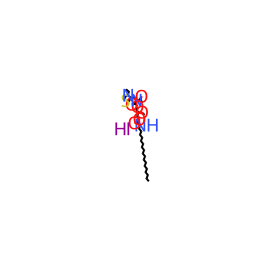 CCCCCCCCCCCCCCCCCCNC(=O)OCC(COC(=O)N(CC1=CSCN1CC)C(C)=O)OC.I